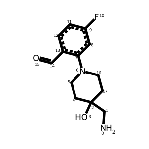 NCC1(O)CCN(c2cc(F)ccc2C=O)CC1